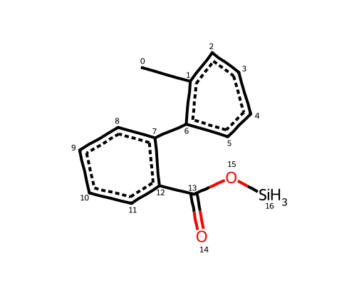 Cc1ccccc1-c1ccccc1C(=O)O[SiH3]